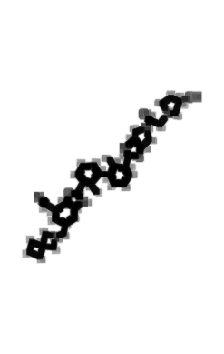 Cc1c(-c2nc3cc(CN4CC5(CCC5)C4)cc(C#N)c3o2)cccc1-c1cccc(-c2nc3c(s2)CN(C(=O)CN2CC[C@@H](O)C2)C3)c1C